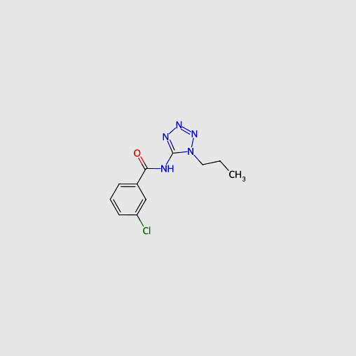 CCCn1nnnc1NC(=O)c1cccc(Cl)c1